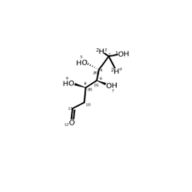 [2H]C([2H])(O)[C@@H](O)[C@@H](O)[C@H](O)CC=O